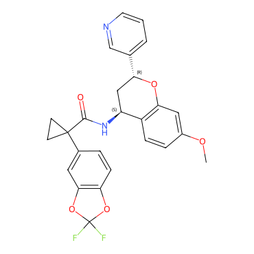 COc1ccc2c(c1)O[C@@H](c1cccnc1)C[C@@H]2NC(=O)C1(c2ccc3c(c2)OC(F)(F)O3)CC1